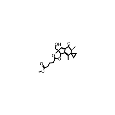 COC(=O)CCCC(=O)OC1C2=C(C)C3(CC3)[C@H](C)C(=O)C2=CC1(C)CO